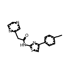 Cc1ccc(-c2csc(NC(=O)Cc3cnccn3)n2)cc1